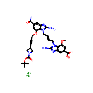 Br.Br.COc1cc(C(=O)O)cc2nc(N)n(C/C=C/Cn3c(N)nc4cc(C(N)=O)cc(OCC#CC5CN(C(=O)OC(C)(C)C)C5)c43)c12